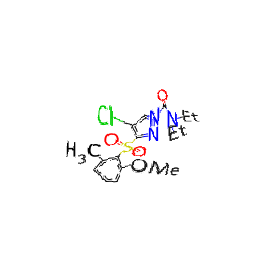 CCN(CC)C(=O)n1cc(Cl)c(S(=O)(=O)c2c(C)cccc2OC)n1